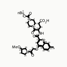 CCCCOC(=O)N1CCN(C(=O)C(CCC(=O)O)NC(=O)c2cc(OCC(=O)N3CCC(OC)C3)c3ccc(C)cc3n2)CC1